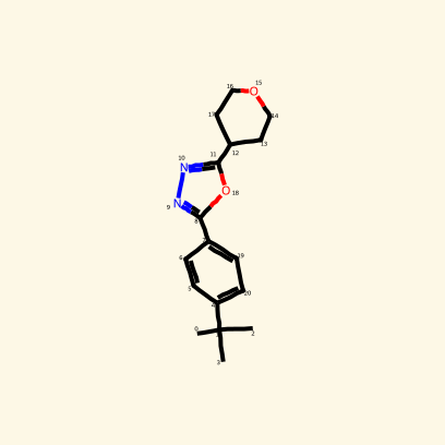 CC(C)(C)c1ccc(-c2nnc(C3CCOCC3)o2)cc1